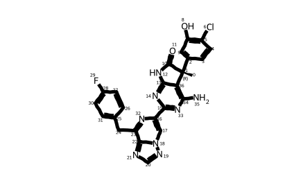 C[C@]1(c2ccc(Cl)c(O)c2)C(=O)Nc2nc(-c3cn4ncnc4c(Cc4ccc(F)cc4)n3)nc(N)c21